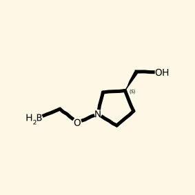 BCON1CC[C@H](CO)C1